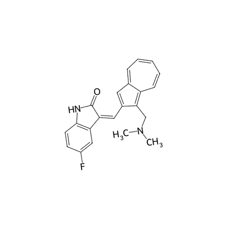 CN(C)Cc1c(C=C2C(=O)Nc3ccc(F)cc32)cc2cccccc1-2